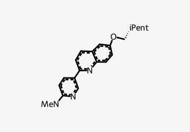 CCC[C@@H](C)COc1ccc2nc(-c3ccc(NC)nc3)ccc2c1